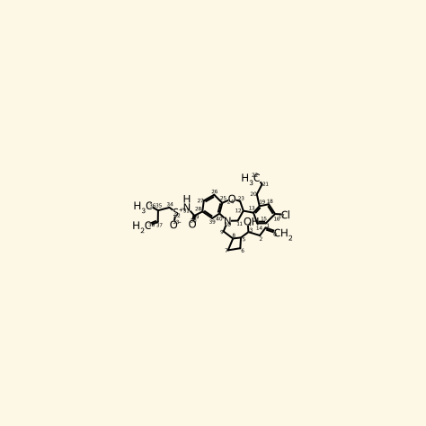 C=CCC(O)C1CCC1CN1CC(c2ccc(Cl)cc2CCC)COc2ccc(C(=O)N[S+]([O-])CC(C)C=C)cc21